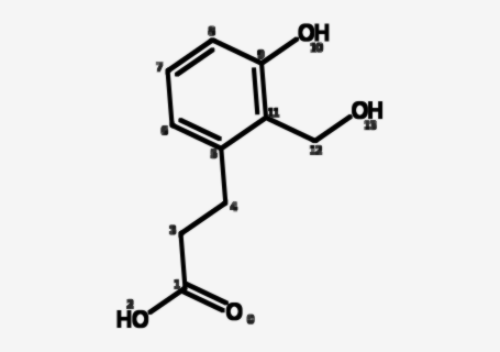 O=C(O)CCc1cccc(O)c1CO